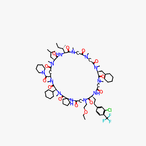 CCOCCN1CC(=O)NC2(CCCC2)C(=O)N(C)[C@@H](C2CCCCC2)C(=O)N(C)C(C(=O)N2CCCCC2)CC(=O)N(C)[C@@H](CC(C)C)C(=O)N[C@@H]([C@@H](C)CC)C(=O)N(C)CC(=O)N(C)CC(=O)N(C)[C@@H](CC2CCCCC2)C(=O)N(C)CC(=O)N[C@@H](CCc2ccc(C(F)(F)F)c(Cl)c2)C1=O